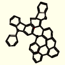 c1ccc(-c2cccc3cccc(-c4ccccc4N(c4ccc5c6ccccc6n(-c6ccccc6)c5c4)c4ccccc4-c4cccc5c4oc4ccccc45)c23)cc1